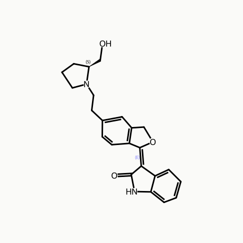 O=C1Nc2ccccc2/C1=C1\OCc2cc(CCN3CCC[C@H]3CO)ccc21